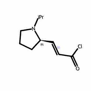 CC(C)N1CCC[C@@H]1/C=C/C(=O)Cl